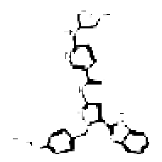 COc1ccc(Cn2nc(NC(=O)c3ccc(NC(C)CO)nc3)cc2-c2nc3ccccc3[nH]2)cc1